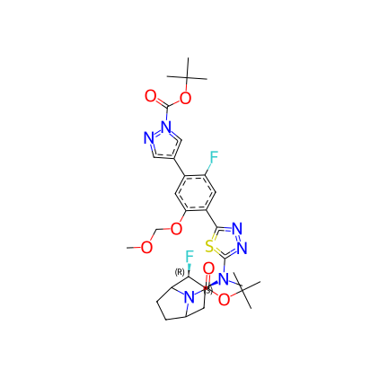 COCOc1cc(-c2cnn(C(=O)OC(C)(C)C)c2)c(F)cc1-c1nnc(N(C)[C@H]2CC3CCC([C@H]2F)N3C(=O)OC(C)(C)C)s1